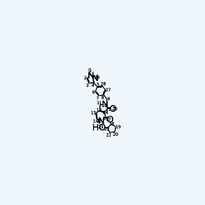 Cn1ccc(-c2ccc(CN3Cc4ccnc(O[C@@H]5CCC[C@H]5O)c4C3=O)cc2)n1